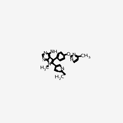 C=Cc1ccc(-c2c(-c3ccc(Oc4nccc(C)n4)cc3)c3c(N)ncnc3n2C)cn1